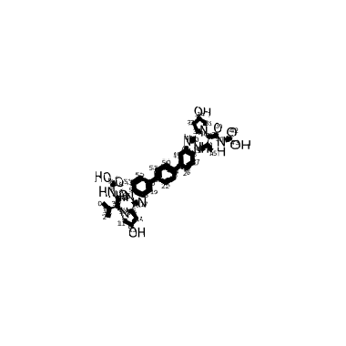 CC(C)[C@@H](C(=O)NC(=O)O)N1C[C@H](O)C[C@H]1c1nc2cc(-c3ccc(-c4ccc5[nH]c([C@@H]6C[C@@H](O)CN6[C@H](C(=O)NC(=O)O)C(C)C)nc5c4)cc3)ccc2[nH]1